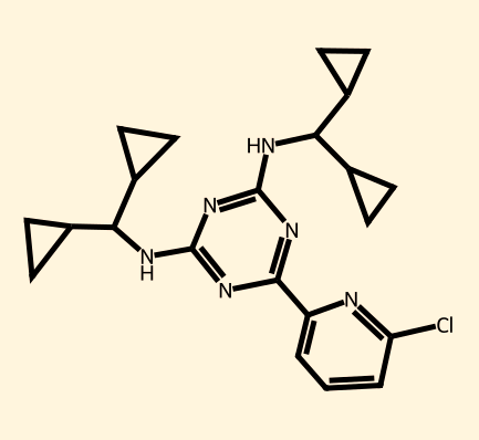 Clc1cccc(-c2nc(NC(C3CC3)C3CC3)nc(NC(C3CC3)C3CC3)n2)n1